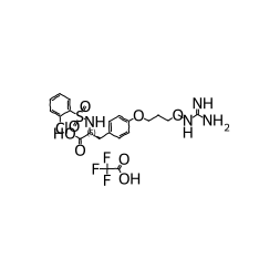 N=C(N)NOCCCOc1ccc(C[C@H](NS(=O)(=O)c2ccccc2Cl)C(=O)O)cc1.O=C(O)C(F)(F)F